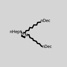 CCCCCCCCCCCCCCCCCCC1N(CCCCCCC)C=CN1CCCCCCCCCCCCCCCCCC